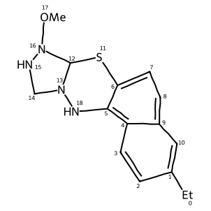 CCc1ccc2c3c(ccc2c1)SC1N(CNN1OC)N3